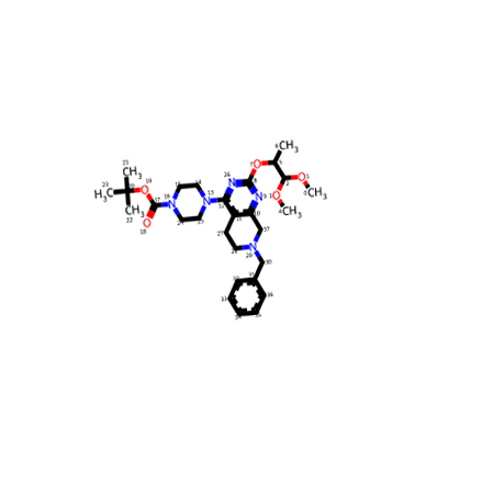 COC(OC)C(C)Oc1nc2c(c(N3CCN(C(=O)OC(C)(C)C)CC3)n1)CCN(Cc1ccccc1)C2